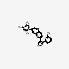 Cc1cccc(-c2n[nH]cc2-c2ccc3ncc(N4C[C@@H](C)N(C)C[C@H]4C)cc3n2)n1